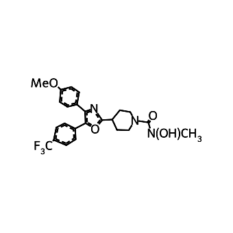 COc1ccc(-c2nc(C3CCN(C(=O)N(C)O)CC3)oc2-c2ccc(C(F)(F)F)cc2)cc1